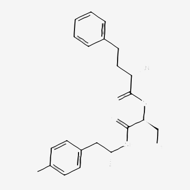 CC(C)C[C@H](NC(=O)[C@@H](N)CCc1ccccc1)C(=O)N[C@@H](Cc1ccc(C(F)(F)F)cc1)C(=O)O